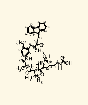 CC(NC(=O)C(NC(=O)C(CCCCNC(=O)O)NC(=O)O)C(C)C)C(=O)Nc1ccc(CCl)c(CN(C)C(=O)OCC2c3ccccc3-c3ccccc32)c1